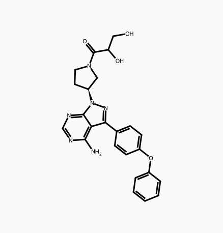 Nc1ncnc2c1c(-c1ccc(Oc3ccccc3)cc1)nn2[C@H]1CCN(C(=O)C(O)CO)C1